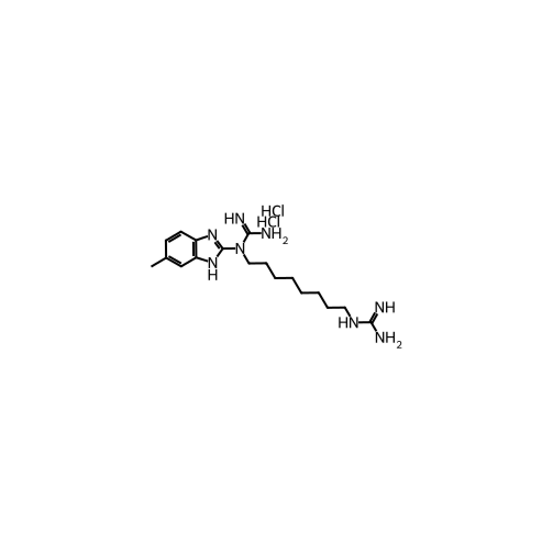 Cc1ccc2nc(N(CCCCCCCCNC(=N)N)C(=N)N)[nH]c2c1.Cl.Cl